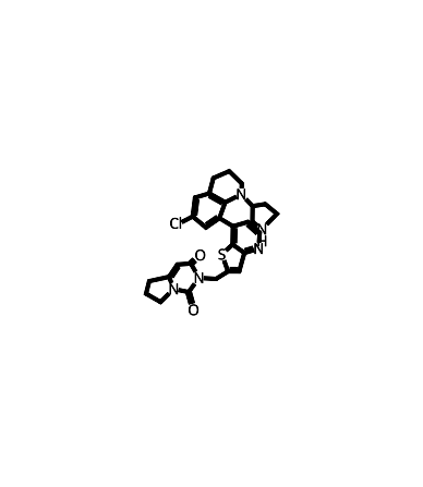 O=c1cc2n(c(=O)n1Cc1cc3nccc(-c4cc(Cl)cc5c4N(C4CCNC4)CCC5)c3s1)CCC2